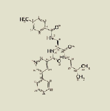 Cc1ccc(C(=O)NC[C@H](NC(=O)c2cncc(-c3ccccc3)c2)C(=O)N[CH]CC(C)C)cc1